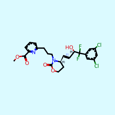 COC(=O)c1cccc(CCCN2C(=O)OCC[C@@H]2/C=C/[C@@H](O)C(F)(F)c2cc(Cl)cc(Cl)c2)n1